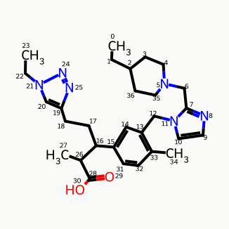 CCC1CCN(Cc2nccn2Cc2cc(C(CCc3cn(CC)nn3)C(C)C(=O)O)ccc2C)CC1